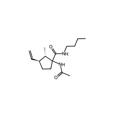 C=C[C@@H]1CCC(NC(C)=O)(C(=O)NCCCC)[C@H]1C